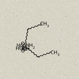 CCCCCCCC/C=C\CCCCCCCC(=O)C(N)(C(=O)CCCCCCC/C=C\CCCCCCCC)C(O)P(=O)(O)O